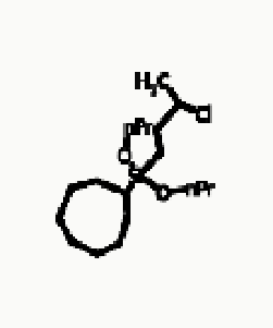 CCCO[Si](CCC(C)Cl)(OCCC)C1CCCCCCC1